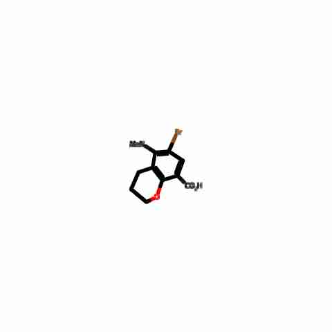 CNc1c(Br)cc(C(=O)O)c2c1CCCO2